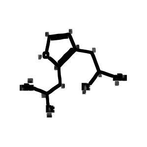 CCCCC(CC)Cc1ccoc1CC(CC)CCCC